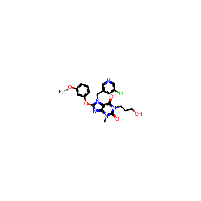 Cn1c(=O)n(CCCO)c(=O)c2c1nc(Oc1cccc(OC(F)(F)F)c1)n2Cc1cncc(Cl)c1